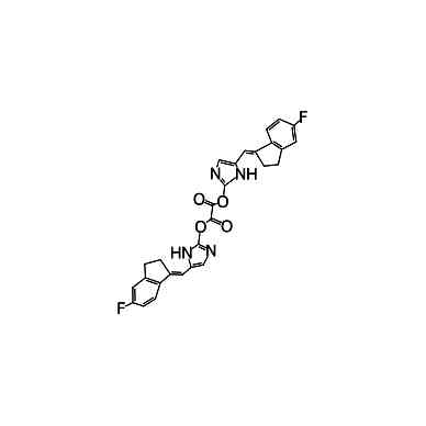 O=C(Oc1ncc(C=C2CCc3cc(F)ccc32)[nH]1)C(=O)Oc1ncc(C=C2CCc3cc(F)ccc32)[nH]1